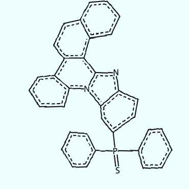 S=P(c1ccccc1)(c1ccccc1)c1ccc2nc3c4c5ccccc5ccc4c4ccccc4n3c2c1